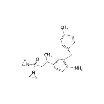 Cc1ccc(Cc2cc(C(C)CP(=O)(N3CC3)N3CC3)ccc2N)cc1